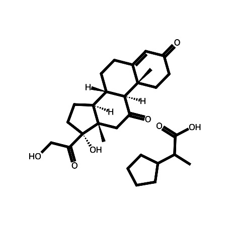 CC(C(=O)O)C1CCCC1.C[C@]12CCC(=O)C=C1CC[C@@H]1[C@@H]2C(=O)C[C@@]2(C)[C@H]1CC[C@]2(O)C(=O)CO